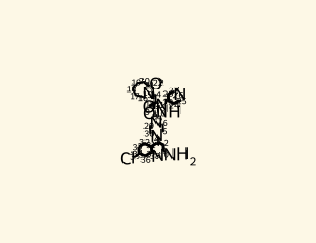 Nc1cc(N2CCN(C(=O)NN(C(=O)CN3CCCCCC3=O)c3ccncc3)CC2)c2ccc(Cl)cc2n1